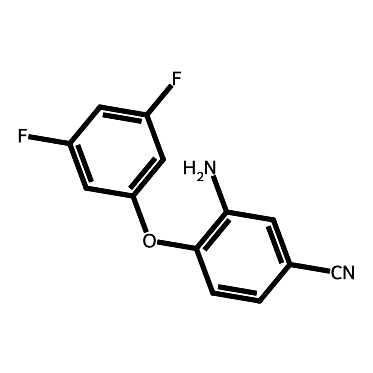 N#Cc1ccc(Oc2cc(F)cc(F)c2)c(N)c1